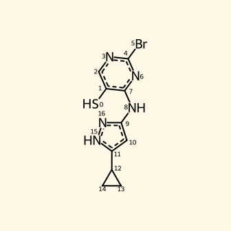 Sc1cnc(Br)nc1Nc1cc(C2CC2)[nH]n1